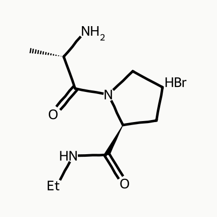 Br.CCNC(=O)[C@@H]1CCCN1C(=O)[C@H](C)N